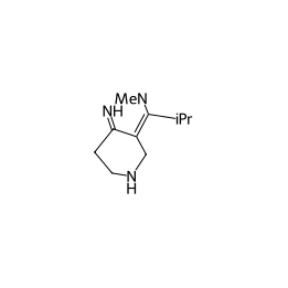 CN/C(=C1/CNCCC1=N)C(C)C